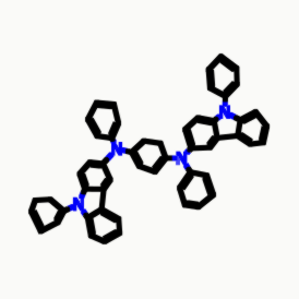 C1=CCCC(n2c3ccccc3c3cc(N(C4=CC=C(N(c5ccccc5)c5ccc6c(c5)c5ccccc5n6-c5ccccc5)CC4)c4ccccc4)ccc32)=C1